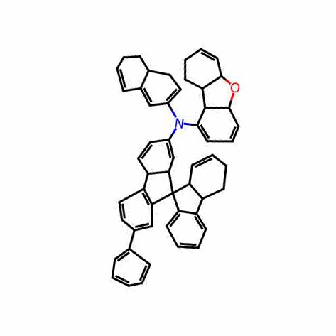 C1=CC2OC3C=CCCC3C2C(N(C2=CCC3CCC=CC3=C2)C2=CC3C(C=C2)c2ccc(-c4ccccc4)cc2C32c3ccccc3C3CCC=CC32)=C1